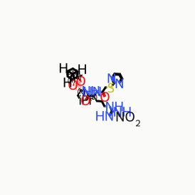 CC(C)C[C@H](NC(=O)[C@H](CCCNC(=N)N[N+](=O)[O-])NC(=O)CSc1ncccn1)B1O[C@@H]2C[C@@H]3C[C@@H](C3(C)C)[C@]2(C)O1